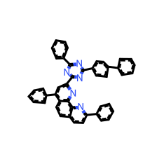 c1ccc(-c2ccc(-c3nc(-c4ccccc4)nc(-c4cc(-c5ccccc5)c5ccc6ccc(-c7ccccc7)nc6c5n4)n3)cc2)cc1